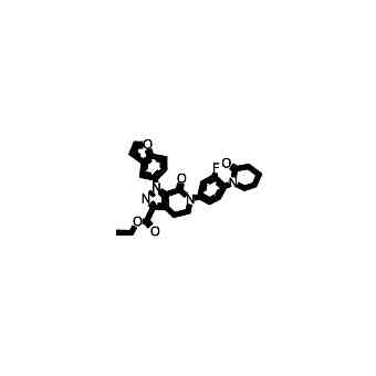 CCOC(=O)c1nn(-c2ccc3occc3c2)c2c1CCN(c1ccc(N3CCCCC3=O)c(F)c1)C2=O